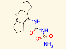 NS(=O)(=O)NC(=O)Nc1c2c(cc3c1CCC3)CCC2